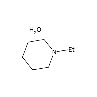 CCN1CCCCC1.O